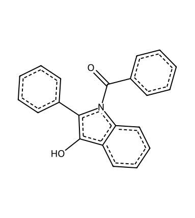 O=C(c1ccccc1)n1c(-c2ccccc2)c(O)c2ccccc21